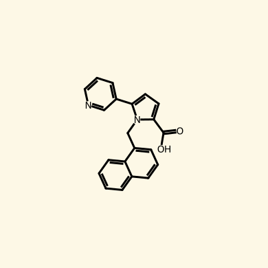 O=C(O)c1ccc(-c2cccnc2)n1Cc1cccc2ccccc12